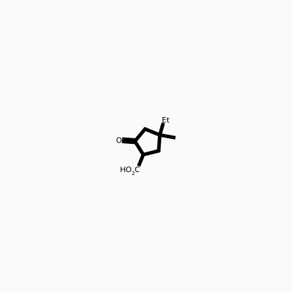 CCC1(C)CC(=O)C(C(=O)O)C1